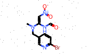 CN(Cc1ccc(Br)nc1)C(=C[N+](=O)[O-])NC=O